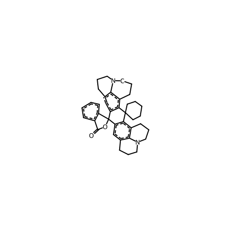 O=C1OC2(c3ccccc31)c1cc3c4c(c1C1(CCCCC1)c1c2cc2c5c1CCCN5CCC2)CCCN4CCC3